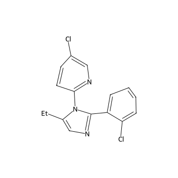 CCc1cnc(-c2ccccc2Cl)n1-c1ccc(Cl)cn1